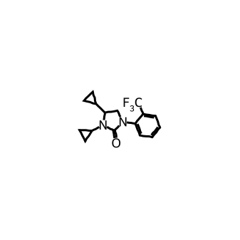 O=C1N(c2ccccc2C(F)(F)F)CC(C2CC2)N1C1CC1